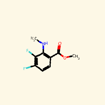 CNc1c(C(=O)OC)ccc(F)c1F